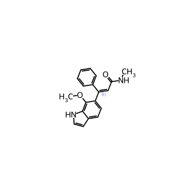 CNC(=O)/C=C(\c1ccccc1)c1ccc2cc[nH]c2c1OC